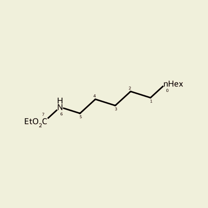 CCCCCCCCCCCNC(=O)OCC